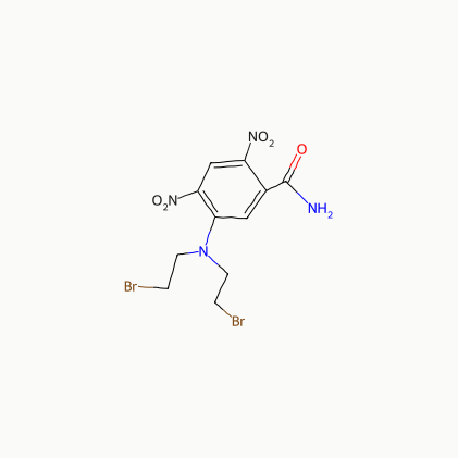 NC(=O)c1cc(N(CCBr)CCBr)c([N+](=O)[O-])cc1[N+](=O)[O-]